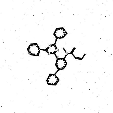 C=C(/C=C\C)N(C)c1ccc(-c2ccccc2)cc1-c1nc(-c2ccccc2)nc(-c2ccccc2)n1